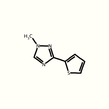 Cn1cnc(-c2cccs2)n1